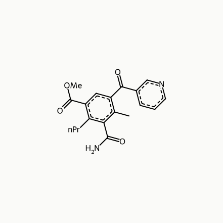 CCCc1c(C(=O)OC)cc(C(=O)c2cccnc2)c(C)c1C(N)=O